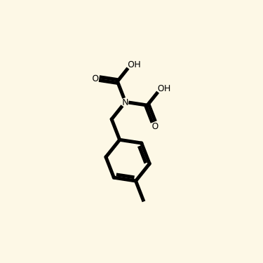 CC1=CCC(CN(C(=O)O)C(=O)O)C=C1